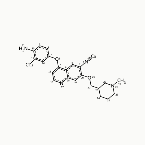 [C-]#[N+]c1cc2c(Oc3ccc(N)c(Cl)c3)ccnc2cc1OCC1CCCN(C)C1